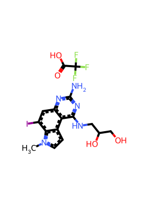 Cn1ccc2c3c(NCC(O)CO)nc(N)nc3cc(I)c21.O=C(O)C(F)(F)F